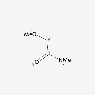 CNC(=O)[CH]OC